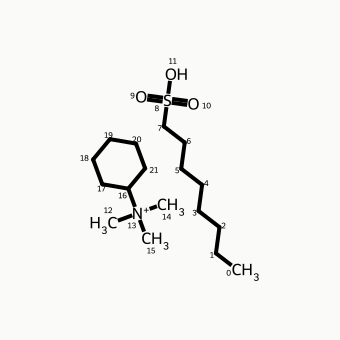 CCCCCCCCS(=O)(=O)O.C[N+](C)(C)C1CCCCC1